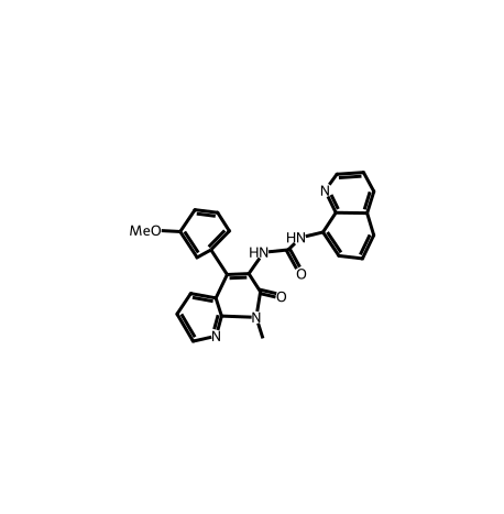 COc1cccc(-c2c(NC(=O)Nc3cccc4cccnc34)c(=O)n(C)c3ncccc23)c1